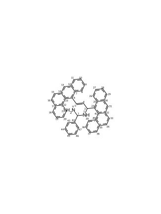 NC(NC(/C=C/c1c2ccccc2cc2ccc3ccccc3c12)c1c2ccccc2cc2ccc3ccccc3c12)c1ccccc1